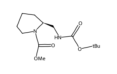 COC(=O)N1CCCC[C@H]1CNC(=O)OC(C)(C)C